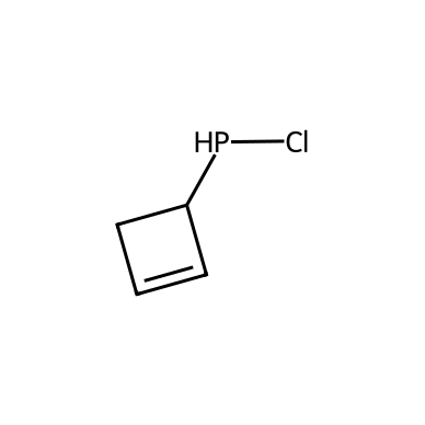 ClPC1C=CC1